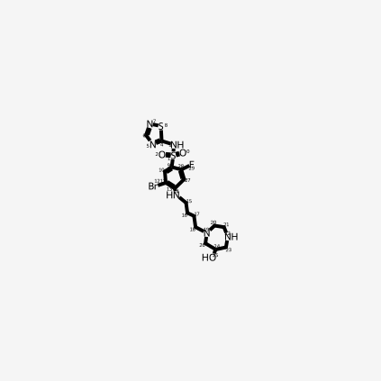 O=S(=O)(Nc1ncns1)c1cc(Br)c(NCCCCN2CCNCC(O)C2)cc1F